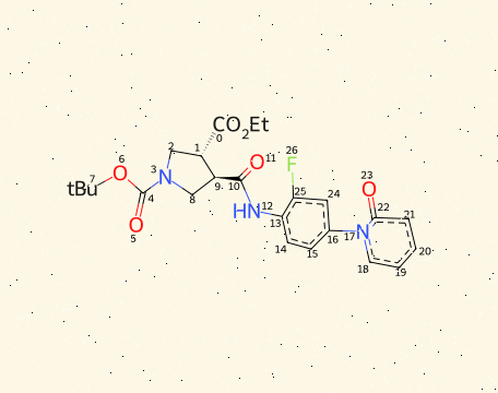 CCOC(=O)[C@H]1CN(C(=O)OC(C)(C)C)C[C@@H]1C(=O)Nc1ccc(-n2ccccc2=O)cc1F